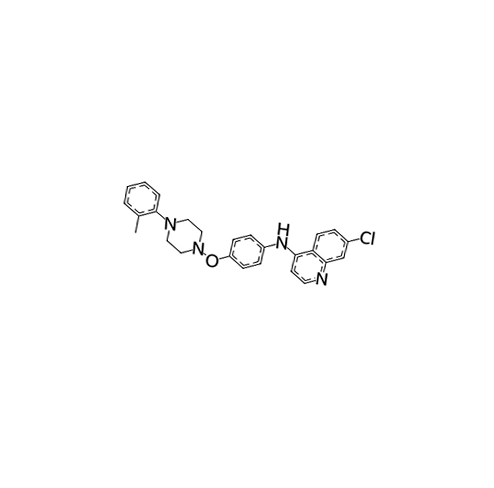 Cc1ccccc1N1CCN(Oc2ccc(Nc3ccnc4cc(Cl)ccc34)cc2)CC1